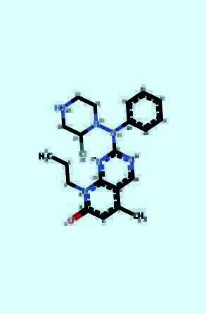 CCCn1c(=O)cc(C)c2cnc(N(c3ccccc3)N3CCNCC3Cl)nc21